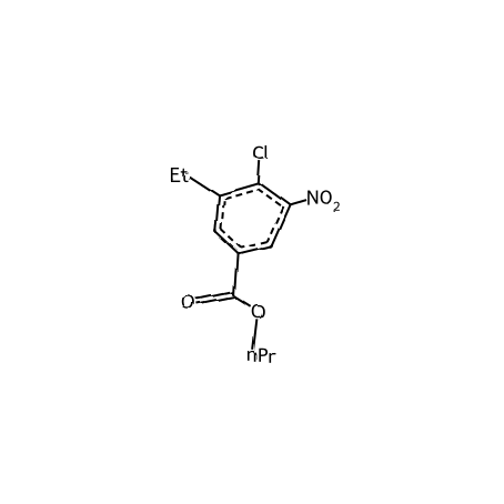 CCCOC(=O)c1cc(CC)c(Cl)c([N+](=O)[O-])c1